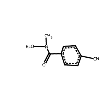 CC(=O)ON(C)C(=O)c1ccc(C#N)cc1